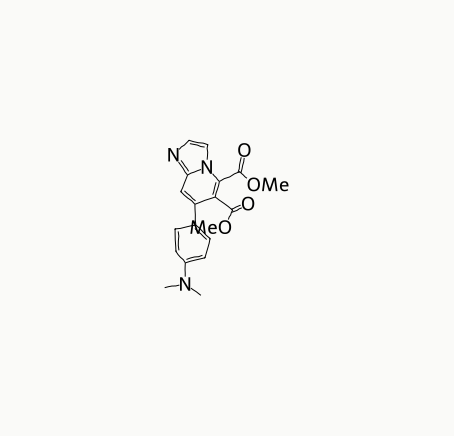 COC(=O)c1c(-c2ccc(N(C)C)cc2)cc2nccn2c1C(=O)OC